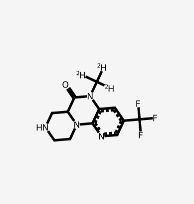 [2H]C([2H])([2H])N1C(=O)C2CNCCN2c2ncc(C(F)(F)F)cc21